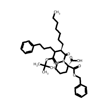 CCCCCCC[C@@H](C(=O)N1NCCC[C@]1(C(=O)O)C(=O)OCc1ccccc1)C(CCCc1ccccc1)C(=O)OC(C)(C)C